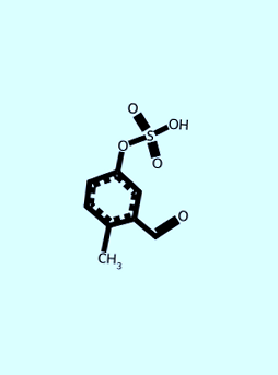 Cc1ccc(OS(=O)(=O)O)cc1C=O